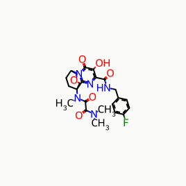 CN(C)C(=O)C(=O)N(C)C12CCC(COC1)n1c2nc(C(=O)NCc2ccc(F)cc2)c(O)c1=O